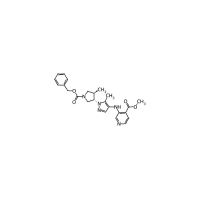 COC(=O)c1ccncc1Nc1cnn([C@@H]2CN(C(=O)OCc3ccccc3)C[C@H]2C)c1C